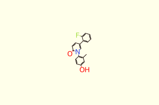 Cc1cc(O)ccc1-n1cc(-c2ccccc2F)ccc1=O